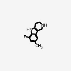 Cc1cc(F)c2[nH]c3c(c2c1)CNCC3